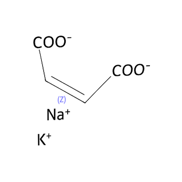 O=C([O-])/C=C\C(=O)[O-].[K+].[Na+]